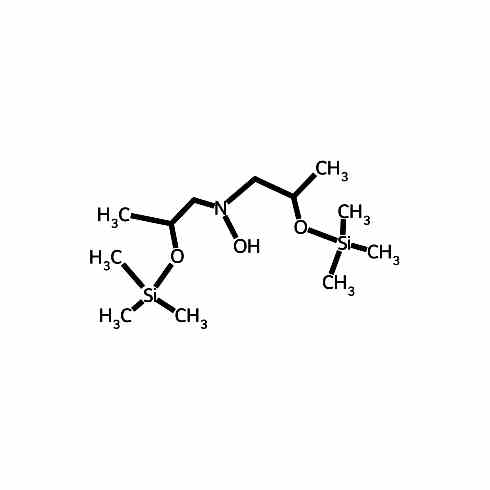 CC(CN(O)CC(C)O[Si](C)(C)C)O[Si](C)(C)C